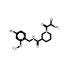 CCC(N)C(=O)N1CCCC(C(=O)NCc2ccc(C#N)cc2OC(F)(F)F)C1